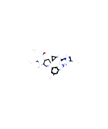 COC(=O)N[C@H]1CCN(c2cc(C#N)cc(Nc3nc(NC4CC4)c4ncc(C#N)n4n3)c2Cl)C[C@H]1N(C)CC#N